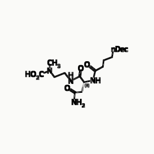 CCCCCCCCCCCCCC(=O)N[C@H](CC(N)=O)C(=O)NCCN(C)C(=O)O